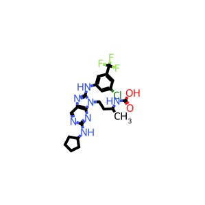 CC(CCn1c(Nc2cc(Cl)cc(C(F)(F)F)c2)nc2cnc(NC3CCCC3)nc21)NC(=O)O